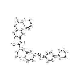 CN(Cc1ccc(NC(=O)C2=Cc3cc(OCc4ccc(-c5ccccc5)cc4)ccc3CCC2)cc1)C1CCOCC1